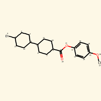 CCC1CCC(C2CCC(C(=O)Oc3ccc(OC(F)(F)F)cc3)CC2)CC1